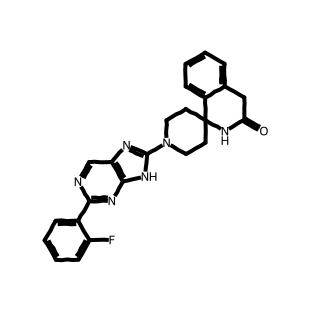 O=C1Cc2ccccc2C2(CCN(c3nc4cnc(-c5ccccc5F)nc4[nH]3)CC2)N1